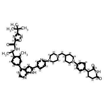 Cc1cc(-c2ncnc3[nH]c(-c4ccc(N5CCN(CC6CCN(c7ccc(C8CCC(=O)NC8=O)cc7)CC6)CC5)nc4)cc23)ccc1C(C)NC(=O)c1nc(C(C)(C)C)no1